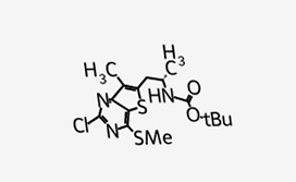 CSc1nc(Cl)nc2c(C)c(C[C@H](C)NC(=O)OC(C)(C)C)sc12